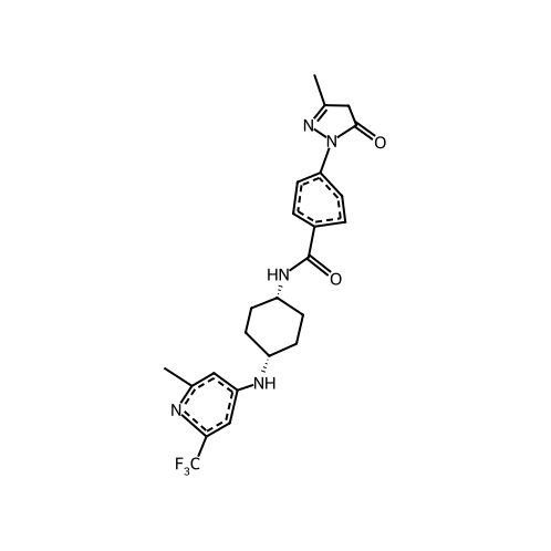 CC1=NN(c2ccc(C(=O)N[C@H]3CC[C@@H](Nc4cc(C)nc(C(F)(F)F)c4)CC3)cc2)C(=O)C1